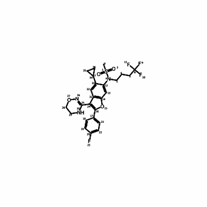 CS(=O)(=O)N(CCCC(F)(F)F)c1cc2oc(-c3ccc(F)cc3)c(C3=NOCCN3)c2cc1C1CC1